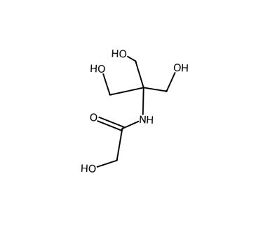 O=C(CO)NC(CO)(CO)CO